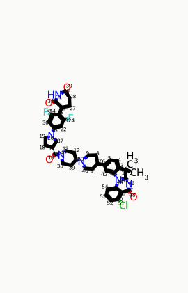 CC1(C)c2ccc(C3CCN(C4CCN(C(=O)[C@@H]5CCN(c6cc(F)c(C7CCC(=O)NC7=O)c(F)c6)C5)CC4)CC3)cc2-n2c1nc(=O)c1c(Cl)cccc12